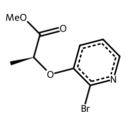 COC(=O)[C@H](C)Oc1cccnc1Br